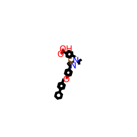 CC(C)N(Cc1ccc(C(=O)O)cc1)c1nc(-c2ccc(OCc3ccc(C4CCCCC4)cc3)cc2)cs1